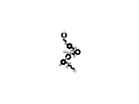 O=C(CCCCl)Nc1cc(F)ccc1N1CCC(NC(=O)C2(NC(=O)c3ccc(OCCN4CCOCC4)cc3)CCCCC2)C(O)C1